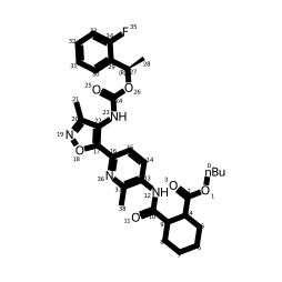 CCCCOC(=O)C1CCCCC1C(=O)Nc1ccc(-c2onc(C)c2NC(=O)O[C@H](C)c2ccccc2F)nc1C